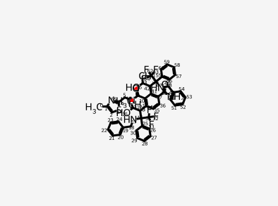 Cc1csc(CN(C)C(=O)c2c(C(C(C)O)C(NCc3ccccc3)(c3ccccc3)C(F)(F)F)ccc(C(N)=O)c2C(C(C)O)C(NCc2ccccc2)(c2ccccc2)C(F)(F)F)n1